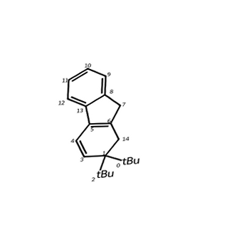 CC(C)(C)C1(C(C)(C)C)C=CC2=C(Cc3ccccc32)C1